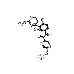 CSc1cnc(C(=O)Nc2ccc(F)c([C@]3(C)CCSC(N)=N3)c2)cn1